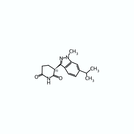 CC(C)c1ccc2c([C@@H]3CCC(=O)NC3=O)nn(C)c2c1